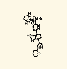 CN(c1ccc(-c2ccc(-c3cnn(C4CCCCO4)c3)c3nc[nH]c23)nn1)C1C[C@H]2CC[C@@H](C1)N2C(=O)OC(C)(C)C